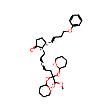 COC(=O)C(CC=C=CC[C@H]1C(=O)CC[C@@H]1/C=C/CCOc1ccccc1)(OC1CCCCO1)OC1CCCCO1